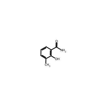 Cc1cc[c]c(C(N)=O)c1O